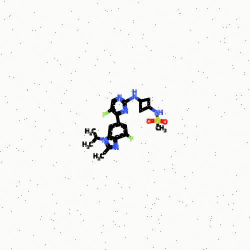 Cc1nc2c(F)cc(-c3nc(NC4CC(NS(C)(=O)=O)C4)ncc3F)cc2n1C(C)C